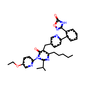 CCCCCc1nc(C(C)C)n(-c2ccc(OCC)cn2)c(=O)c1Cc1ccc(-c2ccccc2-c2noc(=O)[nH]2)nc1